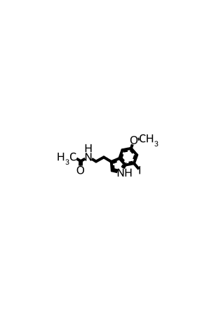 COc1cc(I)c2[nH]cc(CCNC(C)=O)c2c1